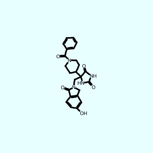 O=C1NC(=O)C(CN2Cc3cc(O)ccc3C2=O)(C2CCN(C(=O)c3ccccc3)CC2)N1